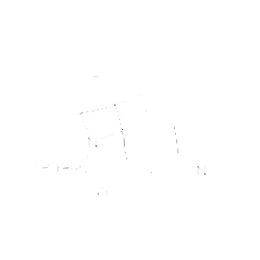 CC(C)(C)[S+]([O-])N1CC(F)(F)C12CCC(N)CC2